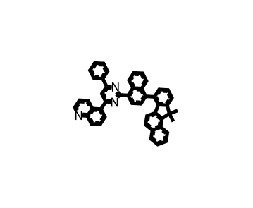 CC1(C)c2cccc(-c3ccc(-c4nc(-c5ccccc5)cc(-c5cccc6ncccc56)n4)c4ccccc34)c2-c2ccc3ccccc3c21